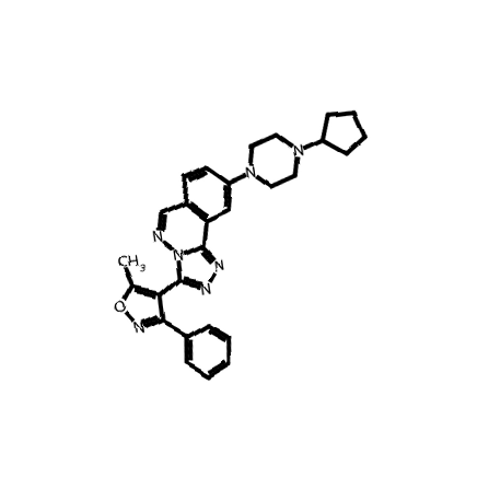 Cc1onc(-c2ccccc2)c1-c1nnc2c3cc(N4CCN(C5CCCC5)CC4)ccc3cnn12